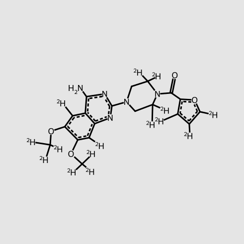 [2H]c1oc(C(=O)N2C([2H])([2H])CN(c3nc(N)c4c([2H])c(OC([2H])([2H])[2H])c(OC([2H])([2H])[2H])c([2H])c4n3)CC2([2H])[2H])c([2H])c1[2H]